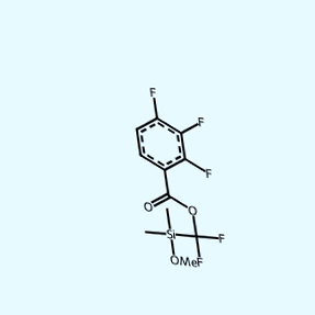 CO[Si](C)(C)C(F)(F)OC(=O)c1ccc(F)c(F)c1F